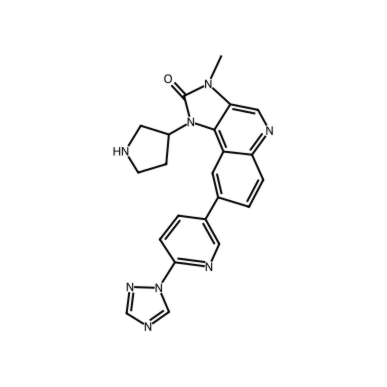 Cn1c(=O)n(C2CCNC2)c2c3cc(-c4ccc(-n5cncn5)nc4)ccc3ncc21